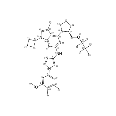 COc1cc(-n2cnc(Nc3nc(N4CCC[C@H]4CO[Si](C)(C)C(C)(C)C)c4c(C)cn(C5CCC5)c4n3)c2)cc(C)c1C